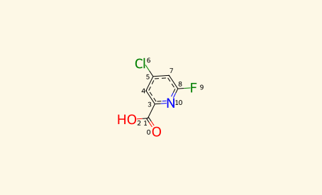 O=C(O)c1cc(Cl)cc(F)n1